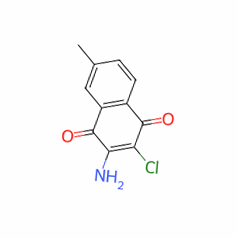 Cc1ccc2c(c1)C(=O)C(N)=C(Cl)C2=O